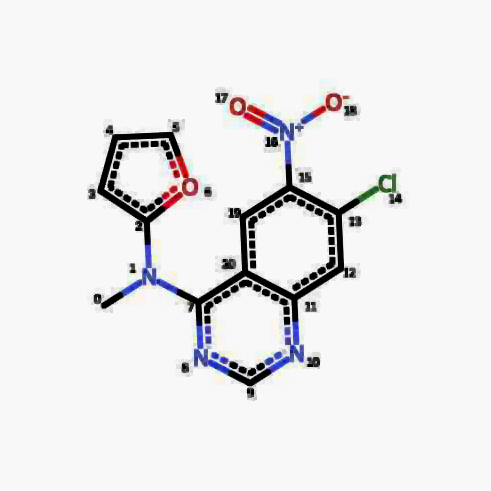 CN(c1ccco1)c1ncnc2cc(Cl)c([N+](=O)[O-])cc12